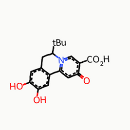 CC(C)(C)C1Cc2cc(O)c(O)cc2-c2cc(=O)c(C(=O)O)cn21